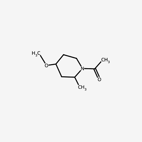 COC1CCN(C(C)=O)C(C)C1